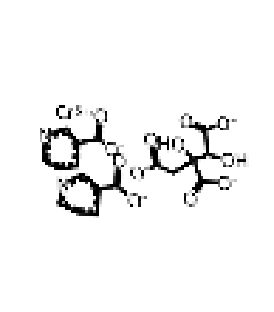 O=C([O-])CC(O)(C(=O)[O-])C(O)C(=O)[O-].O=C([O-])c1cccnc1.O=C([O-])c1cccnc1.[Cr+5]